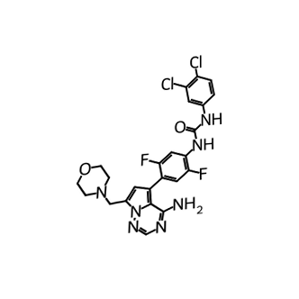 Nc1ncnn2c(CN3CCOCC3)cc(-c3cc(F)c(NC(=O)Nc4ccc(Cl)c(Cl)c4)cc3F)c12